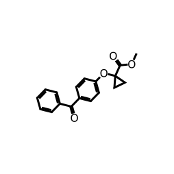 COC(=O)C1(Oc2ccc(C(=O)c3ccccc3)cc2)CC1